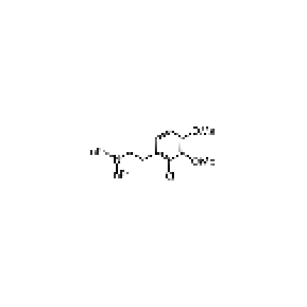 CCCN(CCC)CCc1ccc(OC)c(OC)c1Cl